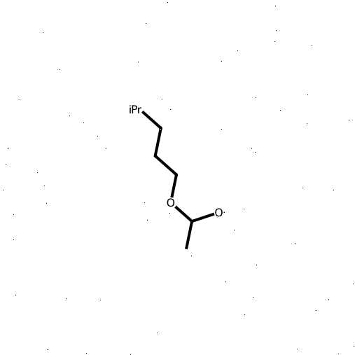 CC(C)CCCOC(C)[O]